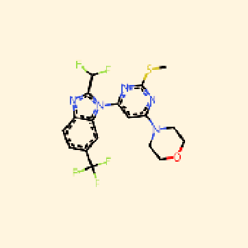 CSc1nc(N2CCOCC2)cc(-n2c(C(F)F)nc3ccc(C(F)(F)F)cc32)n1